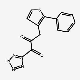 O=C(Cc1ccsc1-c1ccccc1)C(=O)c1nn[nH]n1